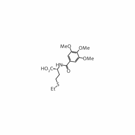 CCSCC[C@H](NC(=O)c1cc(OC)c(OC)c(OC)c1)C(=O)O